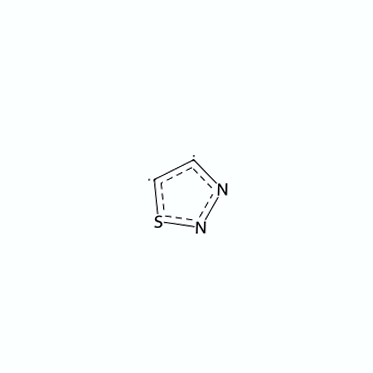 [c]1[c]snn1